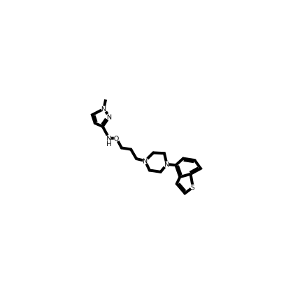 Cn1ccc(NOCCCN2CCN(c3cccc4sccc34)CC2)n1